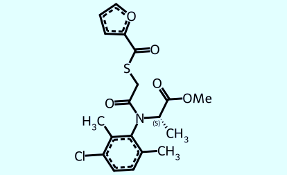 COC(=O)[C@H](C)N(C(=O)CSC(=O)c1ccco1)c1c(C)ccc(Cl)c1C